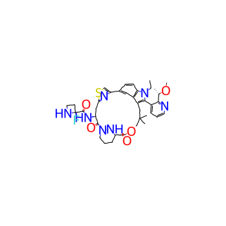 CCn1c(-c2cccnc2[C@H](C)OC)c2c3cc(ccc31)-c1csc(n1)C[C@H](NC(=O)C1(F)CCN1)C(=O)N1CCC[C@](C=O)(COCC(C)(C)C2)N1